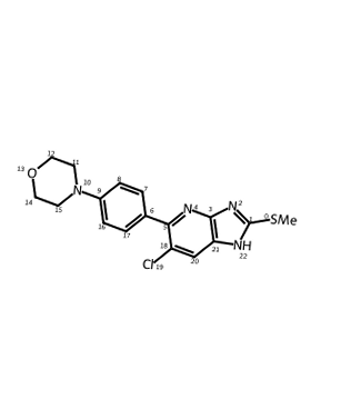 CSc1nc2nc(-c3ccc(N4CCOCC4)cc3)c(Cl)cc2[nH]1